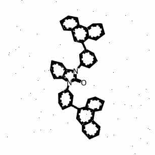 O=c1n(-c2cccc(-c3cc4ccccc4c4ccccc34)c2)c2ccccc2n1-c1cccc(-c2cc3ccccc3c3ccccc23)c1